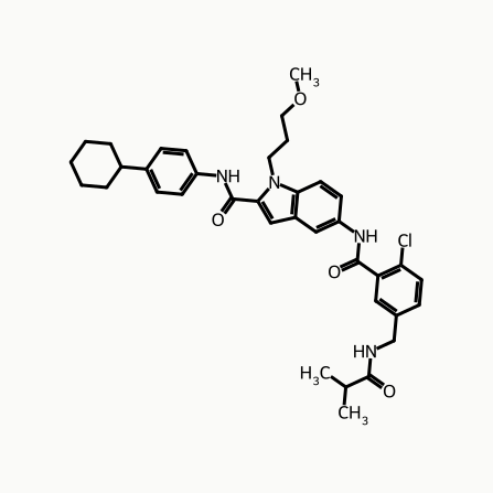 COCCCn1c(C(=O)Nc2ccc(C3CCCCC3)cc2)cc2cc(NC(=O)c3cc(CNC(=O)C(C)C)ccc3Cl)ccc21